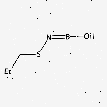 CCCSN=BO